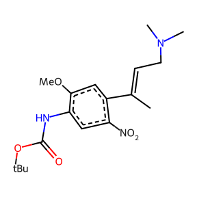 COc1cc(/C(C)=C/CN(C)C)c([N+](=O)[O-])cc1NC(=O)OC(C)(C)C